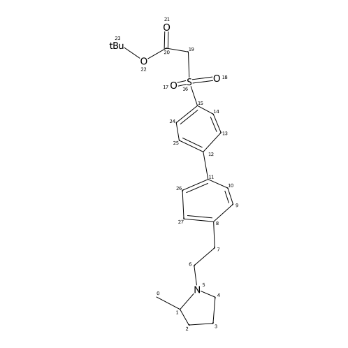 CC1CCCN1CCc1ccc(-c2ccc(S(=O)(=O)CC(=O)OC(C)(C)C)cc2)cc1